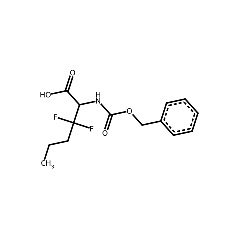 CCCC(F)(F)C(NC(=O)OCc1ccccc1)C(=O)O